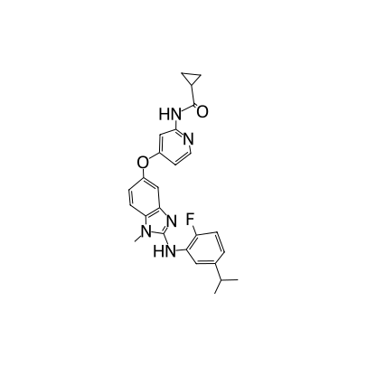 CC(C)c1ccc(F)c(Nc2nc3cc(Oc4ccnc(NC(=O)C5CC5)c4)ccc3n2C)c1